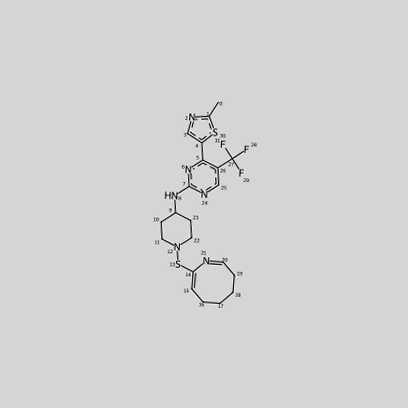 Cc1ncc(-c2nc(NC3CCN(SC4=C/CCCC/C=N\4)CC3)ncc2C(F)(F)F)s1